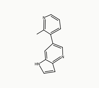 Cc1ncccc1-c1cnc2cc[nH]c2c1